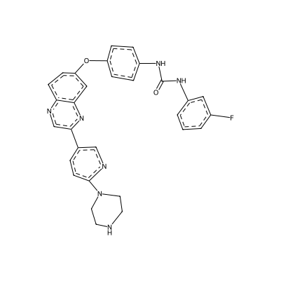 O=C(Nc1ccc(Oc2ccc3ncc(-c4ccc(N5CCNCC5)nc4)nc3c2)cc1)Nc1cccc(F)c1